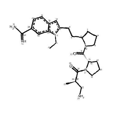 CCn1c(CCC2CCCN2C(=O)[C@@H]2CCCN2C(=O)[C@H](C)CN)cc2ccc(C(=N)N)cc21